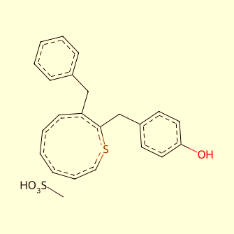 CS(=O)(=O)O.Oc1ccc(Cc2sccccccc2Cc2ccccc2)cc1